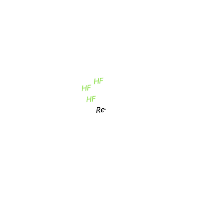 F.F.F.[Re]